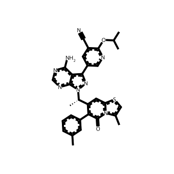 Cc1cccc(-c2c([C@H](C)n3nc(-c4cnc(OC(C)C)c(C#N)c4)c4c(N)ncnc43)cc3scc(C)n3c2=O)c1